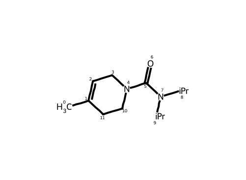 CC1=CCN(C(=O)N(C(C)C)C(C)C)CC1